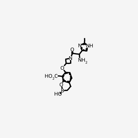 Cc1nc(C(N)C(=O)N2CC(Oc3ccc4c(c3C(=O)O)OB(O)CC4)C2)c[nH]1